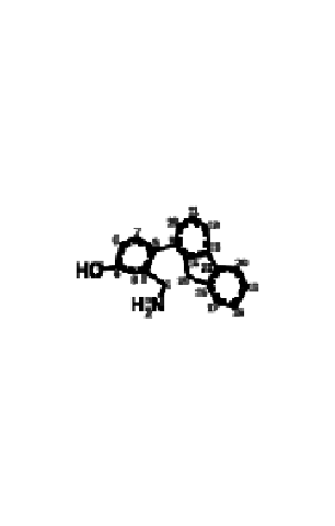 NCc1cc(O)ccc1-c1cccc2c1Cc1ccccc1-2